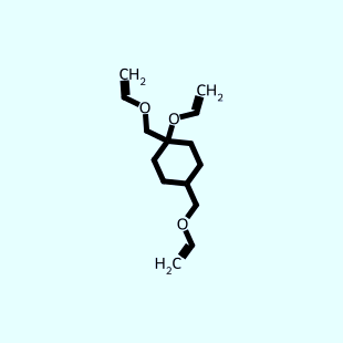 C=COCC1CCC(COC=C)(OC=C)CC1